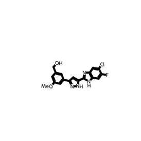 COc1cc(CO)cc(-c2cc(-c3nc4cc(Cl)c(F)cc4[nH]3)[nH]n2)c1